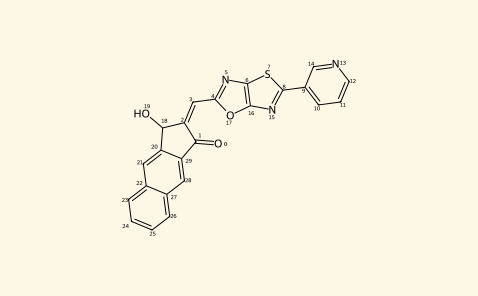 O=C1/C(=C\c2nc3sc(-c4cccnc4)nc3o2)C(O)c2cc3ccccc3cc21